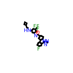 Cn1cnnc1-c1cc(F)ccc1-c1cccc(-c2nc3cc(NCCC4CCC4)cc(C(F)(F)F)c3o2)c1